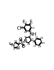 Cn1cnc(S(=O)(=O)N2C[C@H](Nc3cc(F)c(F)c(Cl)c3)[C@@H](c3ccccc3)C2)c1